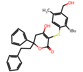 Cc1cc(SC2=C(O)CC(CCc3ccccc3)(c3ccccc3)OC2=O)c(C(C)(C)C)cc1CO